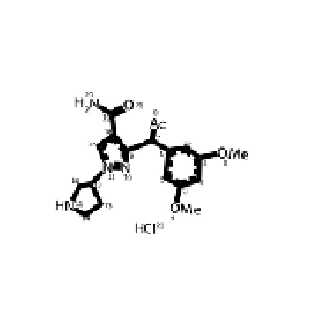 COc1cc(OC)cc(C(C(C)=O)c2nn(C3CCNC3)cc2C(N)=O)c1.Cl